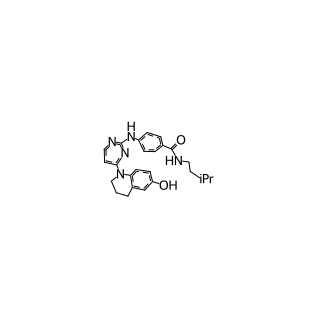 CC(C)CCNC(=O)c1ccc(Nc2nccc(N3CCCc4cc(O)ccc43)n2)cc1